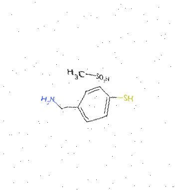 CS(=O)(=O)O.NCc1ccc(S)cc1